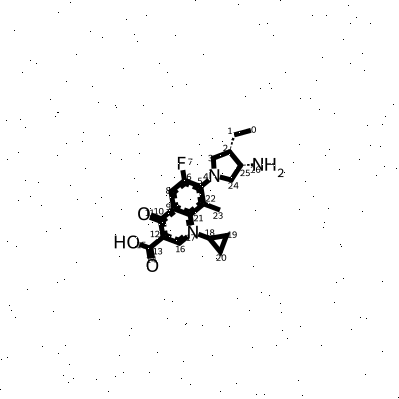 CC[C@H]1CN(c2c(F)cc3c(=O)c(C(=O)O)cn(C4CC4)c3c2C)C[C@H]1N